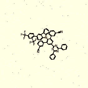 N#Cc1cccc(-c2cc(-c3nc(-c4ccccc4)nc(-c4ccccc4)n3)cc(-c3cccc(C#N)c3)c2-n2c3ccccc3c3cc(-c4ccc(C(F)(F)F)cc4C(F)(F)F)ccc32)c1